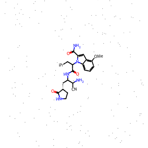 COc1cccc2c1cc(C(N)=O)n2C(CC(C)C)C(=O)NC(C[C@@H]1CCNC1=O)C(N)C#N